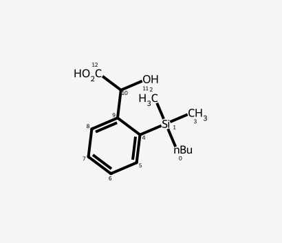 CCCC[Si](C)(C)c1ccccc1C(O)C(=O)O